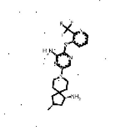 C[C@@H]1C[C@H](N)C2(CCN(c3cnc(Sc4cccnc4C(F)(F)F)c(N)n3)CC2)C1